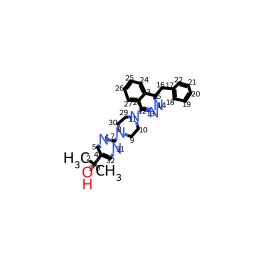 CC(C)(O)c1cnc(N2CCN(c3nnc(Cc4ccccc4)c4ccccc34)CC2)nc1